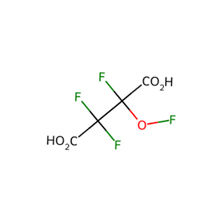 O=C(O)C(F)(F)C(F)(OF)C(=O)O